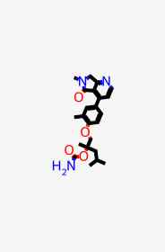 Cc1cc(-c2ccnc3c2C(=O)N(C)C3)ccc1OCC(C)(CC(C)C)OC(N)=O